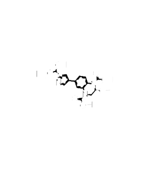 CC(=O)N1c2ccc(-c3cnn(C(C)C)c3)cc2N(C(=O)O)C[C@@H]1C